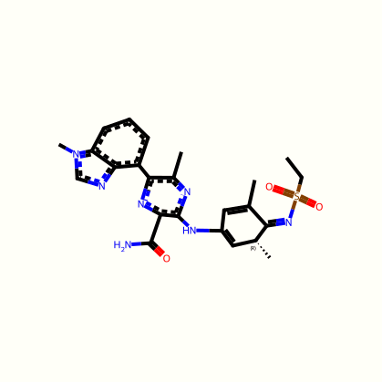 CCS(=O)(=O)N=C1C(C)=CC(Nc2nc(C)c(-c3cccc4c3ncn4C)nc2C(N)=O)=C[C@H]1C